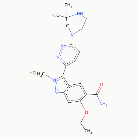 CCOc1cc2nn(C)c(-c3ccc(N4CCNC(C)(C)C4)nn3)c2cc1C(N)=O.Cl